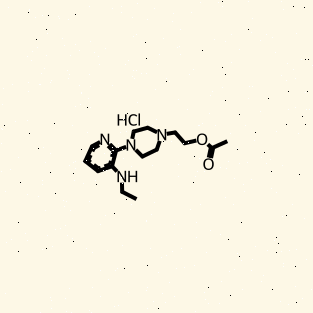 CCNc1cccnc1N1CCN(CCOC(C)=O)CC1.Cl